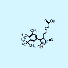 Cc1cc(C2C(CCOCC(=O)O)[C@H](C#N)C[C@H]2O)cc(C(C)(C)O)c1C